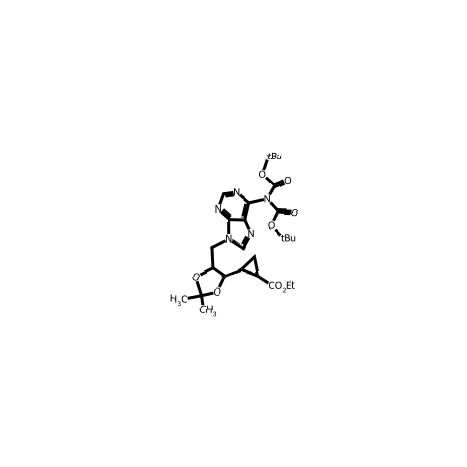 CCOC(=O)C1CC1C1OC(C)(C)OC1Cn1cnc2c(N(C(=O)OC(C)(C)C)C(=O)OC(C)(C)C)ncnc21